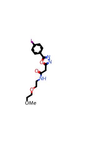 COCCOCCNC(=O)Cc1nnc(-c2ccc(I)cc2)o1